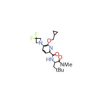 CNC(=O)C(CC(C)(C)C)NC(=O)c1ccc(N2CC(F)(F)C2)c(OCC2CC2)n1